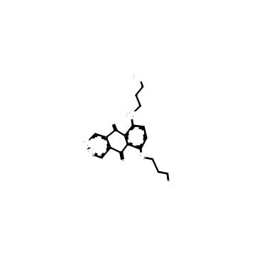 O=C1c2cnncc2C(=O)c2c(NCCCO)ccc(NCCCO)c21